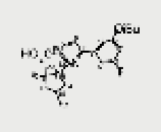 CC(C)COc1cc(F)cc(-c2ccc(C(=O)O)c(N3CC(C)CC3(C)C)n2)c1